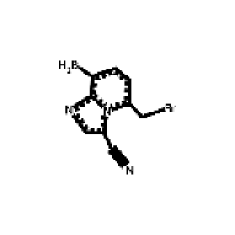 Bc1ccc(CBr)n2c(C#N)cnc12